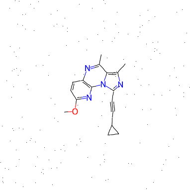 COc1ccc2nc(C)c3c(C)nc(C#CC4CC4)n3c2n1